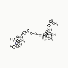 Cc1ncsc1-c1ccc(CNC(=O)[C@@H]2C[C@@H](O)CN2C(=O)[C@@H](NC(=O)CCOCCOCCOCCC(=O)N2CCN(CCCNC(=O)c3c(C)[nH]c(/C=C4/c5cc(F)ccc5NC4O)c3C)CC2)C(C)(C)C)cc1